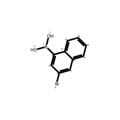 OB(O)c1cc(Br)cc2ccccc12